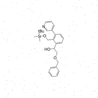 CC(C)(C)[Si](C)(C)OCc1c(-c2cccnc2)cccc1C(O)COCc1ccccc1